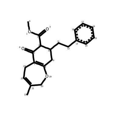 COC(=O)C1C(=O)C2=C(CC1CCc1ccccc1)OCC(C)=CC2